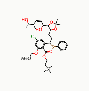 COCOc1cc(Cl)cc(C(CC[C@@H]2OC(C)(C)O[C@@H]2C(O)/C=C\[C@@H](C)[C@H](C)O)Sc2ccccc2)c1C(=O)OCC[Si](C)(C)C